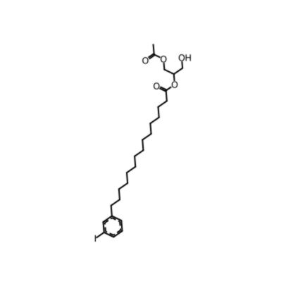 CC(=O)OCC(CO)OC(=O)CCCCCCCCCCCCCCc1cccc(I)c1